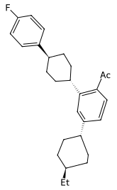 CC[C@H]1CC[C@H](c2ccc(C(C)=O)c([C@H]3CC[C@H](c4ccc(F)cc4)CC3)c2)CC1